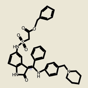 O=C(CS(=O)(=O)Nc1ccc2c(c1)/C(=C(/Nc1ccc(CN3CCCCC3)cc1)c1ccccc1)C(=O)N2)OCc1ccccc1